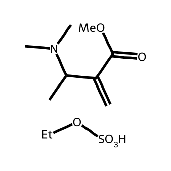 C=C(C(=O)OC)C(C)N(C)C.CCOS(=O)(=O)O